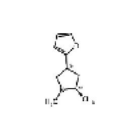 C[C@@H]1C[C@H](c2ccco2)CN1C